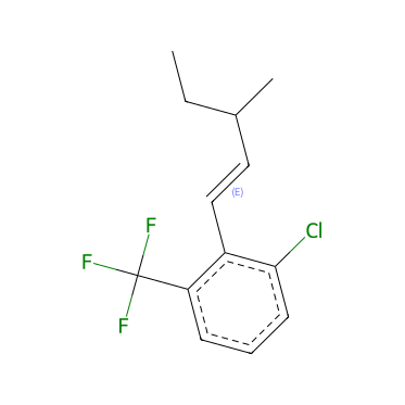 CCC(C)/C=C/c1c(Cl)cccc1C(F)(F)F